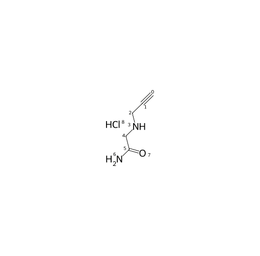 C#CCNCC(N)=O.Cl